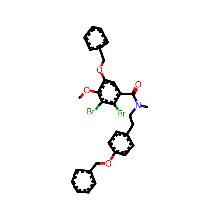 COc1c(OCc2ccccc2)cc(C(=O)N(C)CCc2ccc(OCc3ccccc3)cc2)c(Br)c1Br